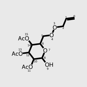 C=CCOOCC1OC(O)C(OC(C)=O)C(OC(C)=O)C1OC(C)=O